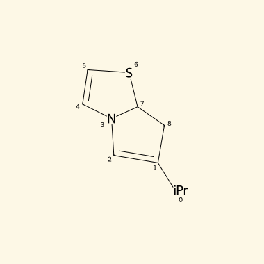 CC(C)C1=CN2C=CSC2C1